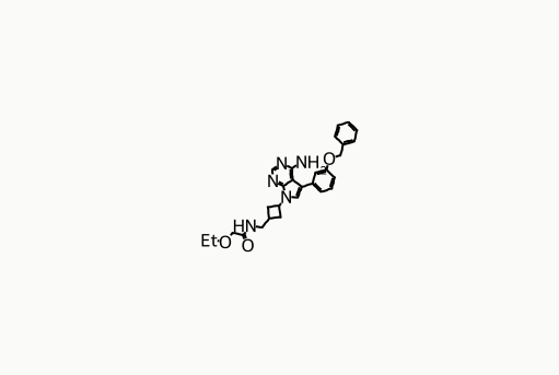 CCOCC(=O)NCC1CC(n2cc(-c3cccc(OCc4ccccc4)c3)c3c(N)ncnc32)C1